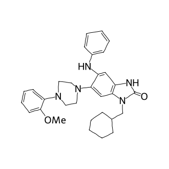 COc1ccccc1N1CCN(c2cc3c(cc2Nc2ccccc2)[nH]c(=O)n3CC2CCCCC2)CC1